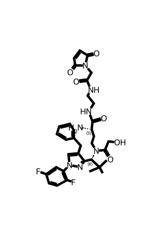 CC(C)(C)[C@H](c1nn(-c2cc(F)ccc2F)cc1Cc1ccccc1)N(CC[C@H](N)C(=O)NCCNC(=O)CN1C(=O)C=CC1=O)C(=O)CO